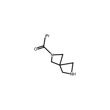 CC(C)C(=O)N1CC2(CNC2)C1